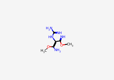 COC(=N)/C(NC(=N)N)=C(\N)OC